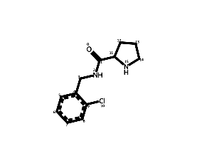 O=C(NCc1ccccc1Cl)C1CCCN1